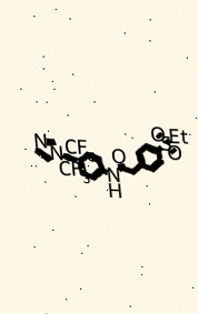 CCS(=O)(=O)c1ccc(CC(=O)Nc2ccc(C(n3ccnc3)(C(F)(F)F)C(F)(F)F)cc2)cc1